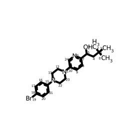 CC(C)(C)CC(O)c1ccc(N2CCN(c3ccc(Br)cc3)CC2)cn1